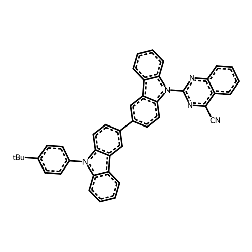 CC(C)(C)c1ccc(-n2c3ccccc3c3cc(-c4ccc5c(c4)c4ccccc4n5-c4nc(C#N)c5ccccc5n4)ccc32)cc1